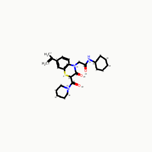 C=C(C)c1ccc2c(c1)SC(C(=O)N1CCCCC1)C(=O)N2CC(=O)NC1CCCCC1